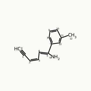 C#C/C=C\C=C(/N)c1cccc(C)c1